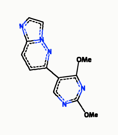 COc1ncc(-c2ccc3nccn3n2)c(OC)n1